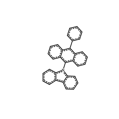 c1ccc(-c2c3ccccc3c(-n3c4ccccc4c4ccccc43)c3ccccc23)cc1